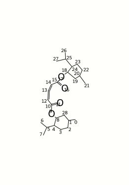 CC1CCC(C(C)C)C(OC(=O)C=C=CC(=O)OC2CC(C)CCC2C(C)C)C1